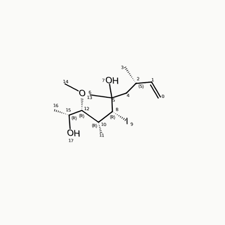 C=C[C@@H](C)CC(C)(O)[C@H](I)[C@H](C)[C@@H](OC)[C@@H](C)O